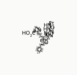 CCNC(=O)Nc1ncnc2c1ncn2CC1O[C@@H](/C=C/c2ccccc2)OC1CCCCc1ncccc1C(=O)O